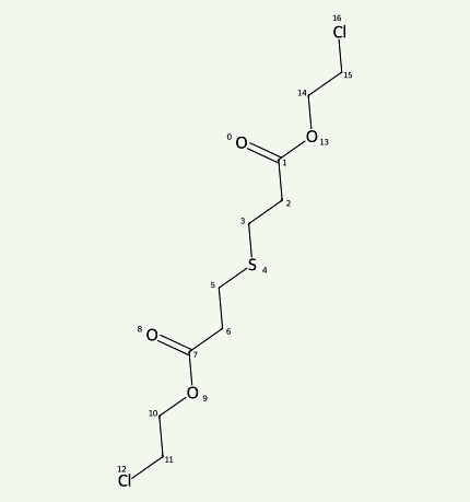 O=C(CCSCCC(=O)OCCCl)OCCCl